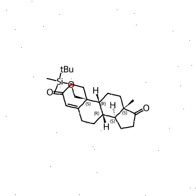 CC(C)(C)[Si](C)(C)OC[C@]12CCC(=O)C=C1CC[C@@H]1[C@H]2CC[C@]2(C)C(=O)CC[C@@H]12